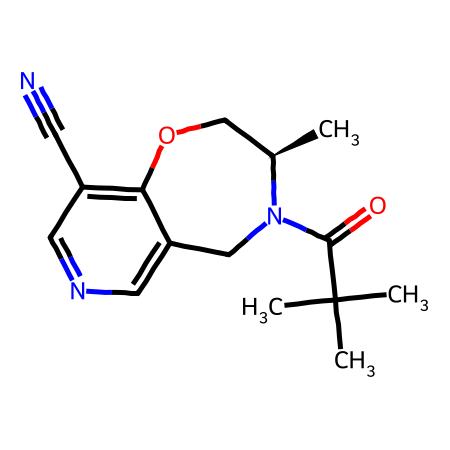 C[C@@H]1COc2c(C#N)cncc2CN1C(=O)C(C)(C)C